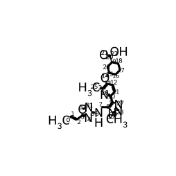 C/C=C/c1nc(NCc2c(-c3ccc(O[C@H]4CCC[C@H](C(=O)O)C4)c(C)n3)nnn2C)no1